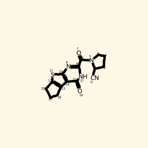 N#CC1CCCN1C(=O)c1nc2sc3c(c2c(=O)[nH]1)CCC3